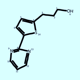 OCCCc1ccc(-c2ncccn2)s1